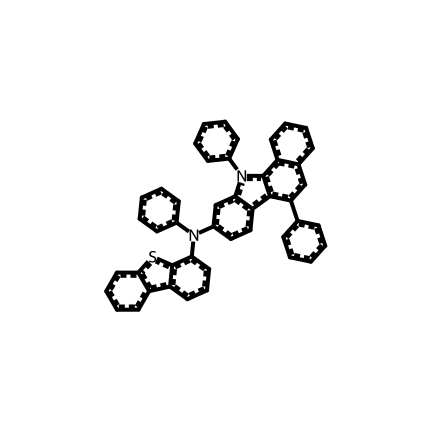 c1ccc(-c2cc3ccccc3c3c2c2ccc(N(c4ccccc4)c4cccc5c4sc4ccccc45)cc2n3-c2ccccc2)cc1